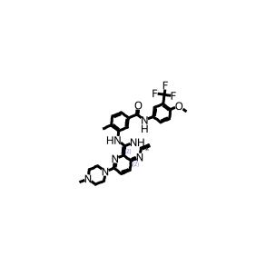 C=C/N=C1/C=CC(N2CCN(C)CC2)=N/C1=C(/N)Nc1cc(C(=O)Nc2ccc(OC)c(C(F)(F)F)c2)ccc1C